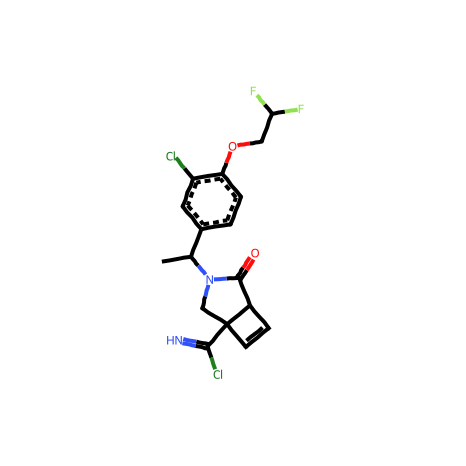 CC(c1ccc(OCC(F)F)c(Cl)c1)N1CC2(C(=N)Cl)C=CC2C1=O